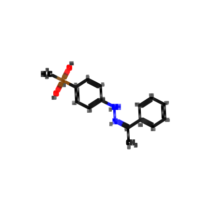 CC(=NNc1ccc(S(C)(=O)=O)cc1)c1ccccc1